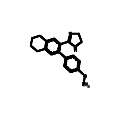 COc1ccc(-c2cc3c(cc2C2=NCCN2)CCCC3)cc1